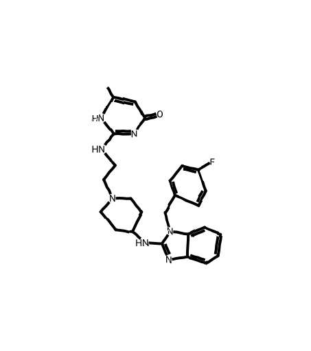 Cc1cc(=O)nc(NCCN2CCC(Nc3nc4ccccc4n3Cc3ccc(F)cc3)CC2)[nH]1